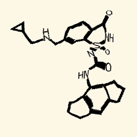 O=C(N=S1(=O)NC(=O)c2ccc(CNCC3CC3)cc21)Nc1c2c(cc3c1CCC3)CCC2